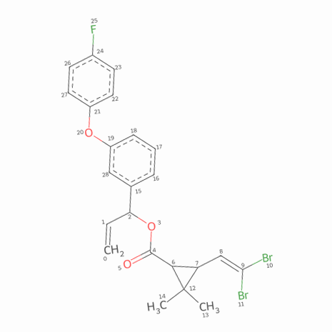 C=CC(OC(=O)C1C(C=C(Br)Br)C1(C)C)c1cccc(Oc2ccc(F)cc2)c1